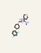 CNC(=O)C1(NCC[C@H]2CC[C@@H](c3ccc(F)cc3F)CC2)CCOCC1